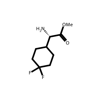 COC(=O)[C@@H](N)C1CCC(F)(F)CC1